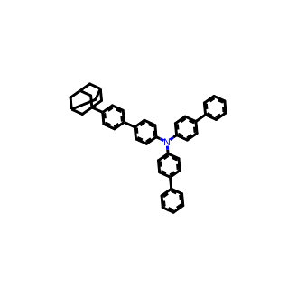 c1ccc(-c2ccc(N(c3ccc(-c4ccccc4)cc3)c3ccc(-c4ccc(C56CC7CC(CC(C7)C5)C6)cc4)cc3)cc2)cc1